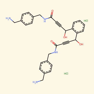 Cl.Cl.NCc1ccc(CNC(=O)C#CC(O)c2ccccc2C(O)C#CC(=O)NCc2ccc(CN)cc2)cc1